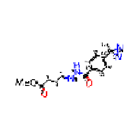 COC(=O)CC/C=N/NC(=O)c1ccc(C2(C)N=N2)cc1